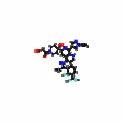 C[C@@H](Nc1ccnc2c(-c3cnn(C)c3)nc(C3(O)CCN(C(=O)CO)CC3)cc12)c1cccc(C(F)F)c1F